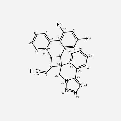 C=CC1C2C(c3cc(F)cc(F)c3-c3cccc[n+]32)C12Cn1nnnc1-c1cccc[n+]12